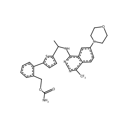 CC(Nc1nnc(C(F)(F)F)c2ccc(N3CCOCC3)cc12)c1ccc(-c2ccccc2COC(N)=O)s1